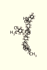 CCOC(=O)OC1CN(C2CCN(C(=O)C(CC(=O)N3CCC(N4Cc5ccccc5NC4=O)CC3)Cc3ccc(Cl)c(C)c3)CC2)CCN1C